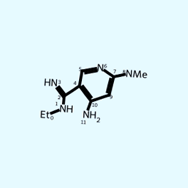 CCNC(=N)c1cnc(NC)cc1N